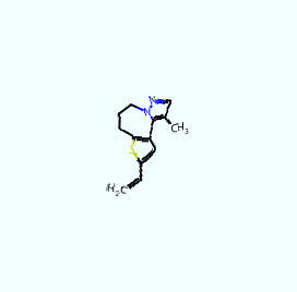 C=Cc1cc2c(s1)CCCn1ncc(C)c1-2